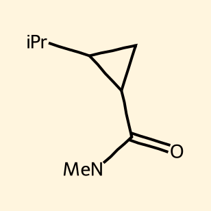 CNC(=O)C1CC1C(C)C